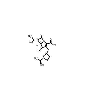 CC(=N)N1CC[C@H](SC2=C(C(=O)O)N3C(=O)[C@H](C(C)O)[C@@H]3C2C)C1